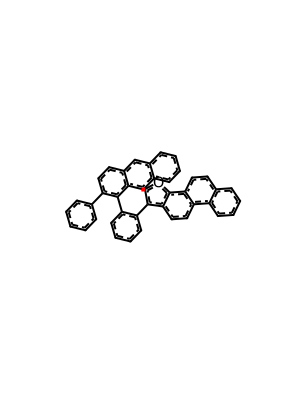 c1ccc(-c2ccc3cc4ccccc4cc3c2-c2ccccc2-c2coc3c2ccc2c4ccccc4ccc23)cc1